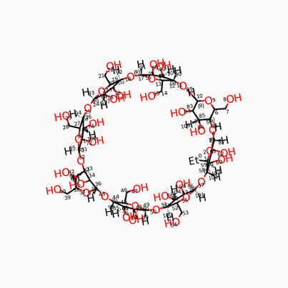 CCC1O[C@@H]2O[C@@H]3C(CO)O[C@H](O[C@@H]4C(CO)O[C@H](O[C@@H]5C(CO)O[C@H](O[C@@H]6C(CO)O[C@H](O[C@@H]7C(O)[C@@H](OC(CO)[C@H]7O)O[C@@H]7C(CO)O[C@H](O[C@@H]8C(CO)O[C@H](O[C@H]1[C@H](O)C2O)C(O)[C@H]8O)C(O)[C@H]7O)C(O)[C@H]6O)[C@@H](O)C5O)C(O)[C@H]4O)C(O)[C@H]3O